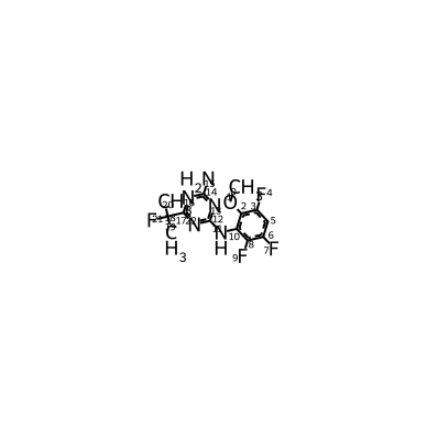 COc1c(F)cc(F)c(F)c1Nc1nc(N)nc(C(C)(C)F)n1